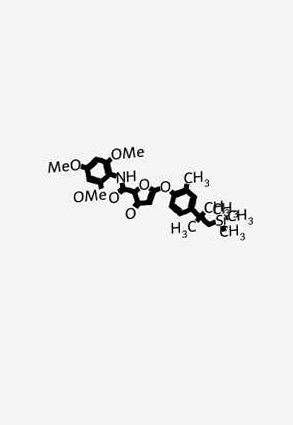 COc1cc(OC)c(NC(=O)C2OC(Oc3ccc(C(C)(C)C[Si](C)(C)C)cc3C)=CC2=O)c(OC)c1